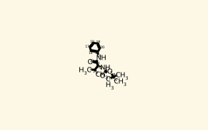 CC(C)[C@H](NC(=O)OC(C)(C)C)C(=O)Nc1ccccc1